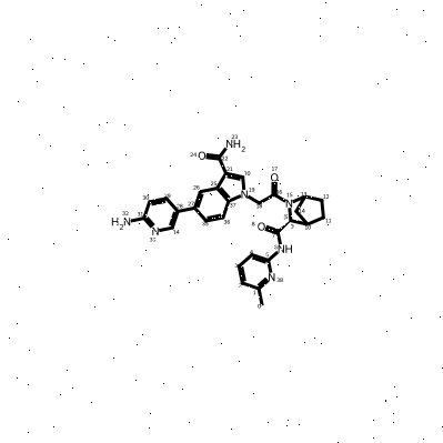 Cc1cccc(NC(=O)[C@@H]2C3CCC(C3)N2C(=O)Cn2cc(C(N)=O)c3cc(-c4ccc(N)nc4)ccc32)n1